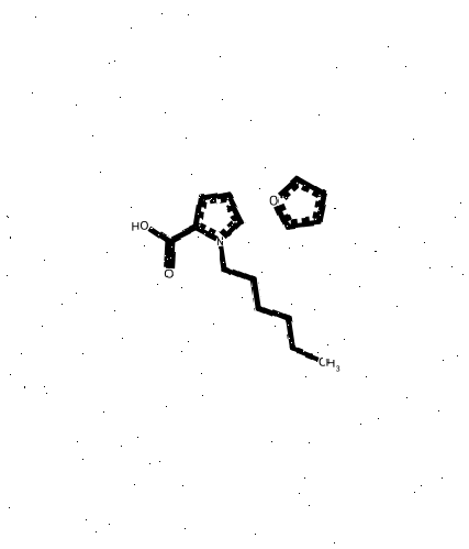 CCCCCCn1cccc1C(=O)O.c1ccoc1